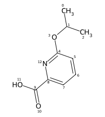 CC(C)Oc1cccc(C(=O)O)n1